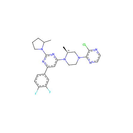 CC1CCCN1c1nc(-c2ccc(F)c(F)c2)cc(N2CCN(c3nccnc3Cl)C[C@@H]2C)n1